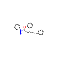 O=C(C[C@@H](CCCc1ccccc1)c1ccccc1)Nc1ccccc1